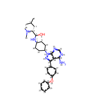 CC(C)C[C@H](C(O)N[C@H]1CC[C@@H](n2nc(-c3ccc(Oc4ccccc4)cc3)c3c(N)ncnc32)CC1)N(C)C